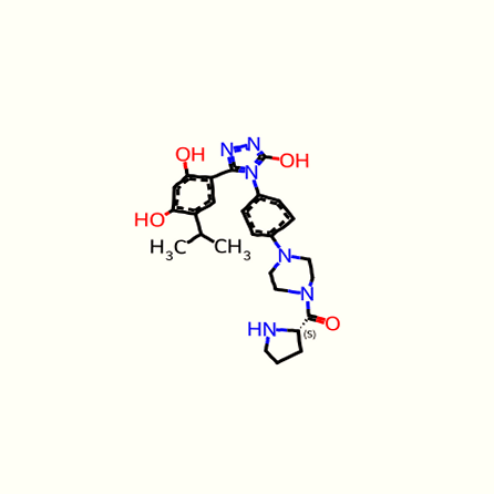 CC(C)c1cc(-c2nnc(O)n2-c2ccc(N3CCN(C(=O)[C@@H]4CCCN4)CC3)cc2)c(O)cc1O